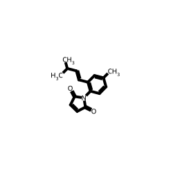 Cc1ccc(N2C(=O)C=CC2=O)c(/C=C/C(C)C)c1